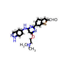 CN(C)CCOc1cc(Nc2ccc3[nH]ncc3c2)nc(-c2ccc3cc(C=O)sc3c2)n1